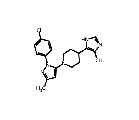 Cc1cc(N2CCC(c3[nH]cnc3C)CC2)n(-c2ccc(Cl)cc2)n1